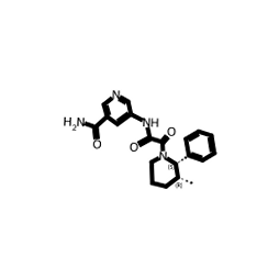 C[C@@H]1CCCN(C(=O)C(=O)Nc2cncc(C(N)=O)c2)[C@@H]1c1ccccc1